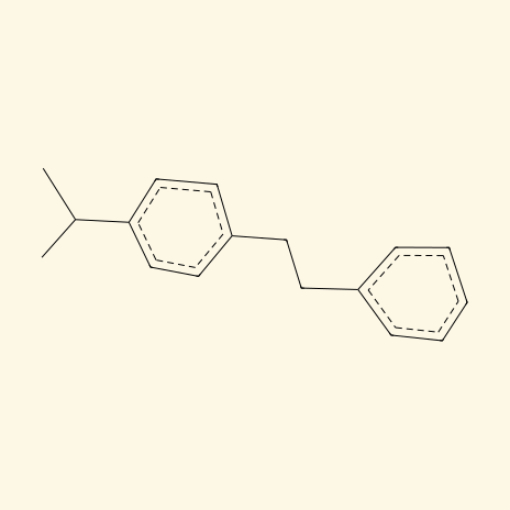 CC(C)c1ccc(CCc2ccccc2)cc1